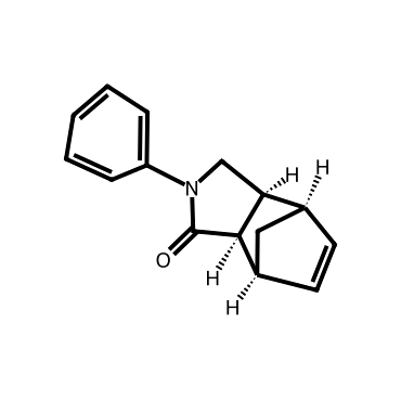 O=C1[C@H]2[C@@H](CN1c1ccccc1)[C@H]1C=C[C@@H]2C1